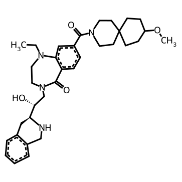 CCN1CCN(C[C@@H](O)[C@@H]2Cc3ccccc3CN2)C(=O)c2ccc(C(=O)N3CCC4(CCC(OC)CC4)CC3)cc21